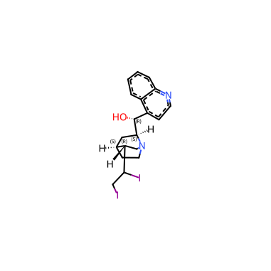 O[C@H](c1ccnc2ccccc12)[C@@H]1C[C@@H]2CCN1C[C@@H]2C(I)CI